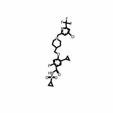 O=C(NS(=O)(=O)C1CC1)c1cc(C2CC2)c(OCC2CCN(Cc3cc(Cl)cc(C(F)(F)F)n3)CC2)cc1F